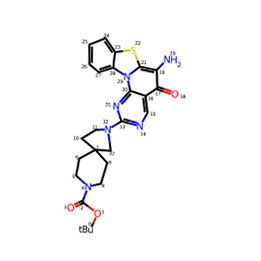 CC(C)(C)OC(=O)N1CCC2(CC1)CCN(c1ncc3c(=O)c(N)c4sc5ccccc5n4c3n1)C2